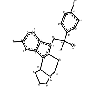 Cc1cnc2c(n1)c1c(n2CC(C)(O)c2ccc(F)cc2)CCN2CCCC12